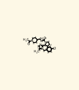 CC(=O)N1CCC(CNC(=O)N2CCCC2c2nnc(C)n2Cc2ccc(Cl)cc2)CC1